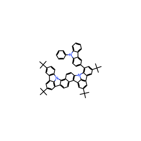 CC(C)(C)c1ccc2c(c1)c1cc(C(C)(C)C)cc3c4ccc5c(ccc6c5c5cc(C(C)(C)C)cc7c8cc(C(C)(C)C)cc(-c9ccc%10c(c9)c9ccccc9n%10-c9ccccc9)c8n6c75)c4n2c13